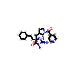 CN1C(=N)N[C@@](CCC2CCCCC2)(CC2CCN(C(=O)c3ccncc3)C2)C1=O